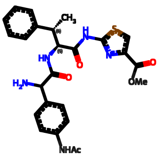 COC(=O)c1csc(NC(=O)[C@@H](NC(=O)C(N)c2ccc(NC(C)=O)cc2)[C@@H](C)c2ccccc2)n1